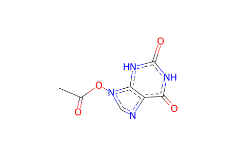 CC(=O)On1cnc2c(=O)[nH]c(=O)[nH]c21